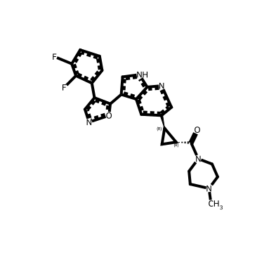 CN1CCN(C(=O)[C@@H]2C[C@H]2c2cnc3[nH]cc(-c4oncc4-c4cccc(F)c4F)c3c2)CC1